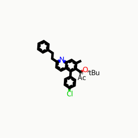 CC(=O)[C@@H](OC(C)(C)C)c1c(C)cc2nc(CCc3ccccc3)ccc2c1-c1ccc(Cl)cc1